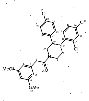 COc1cc(CC(=O)N2CCN(c3ccc(Cl)cc3Cl)C(c3ccc(Cl)cc3)C2)cc(OC)c1